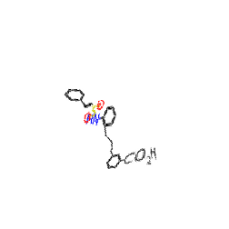 O=C(O)c1cccc(CCCc2ccccc2NS(=O)(=O)/C=C/c2ccccc2)c1